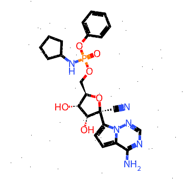 N#C[C@@]1(c2ccc3c(N)ncnn23)O[C@H](COP(=O)(NC2CCCC2)Oc2ccccc2)[C@@H](O)[C@H]1O